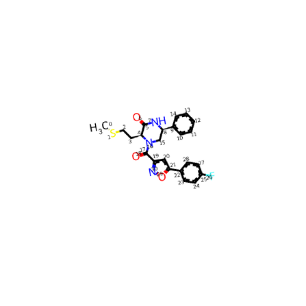 CSCC[C@H]1C(=O)N[C@@H](c2ccccc2)CN1C(=O)c1cc(-c2ccc(F)cc2)on1